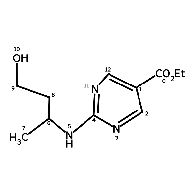 CCOC(=O)c1cnc(NC(C)CCO)nc1